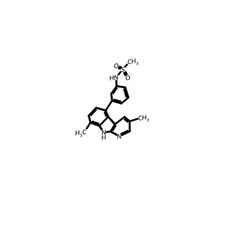 Cc1cnc2[nH]c3c(C)ccc(-c4cccc(NS(C)(=O)=O)c4)c3c2c1